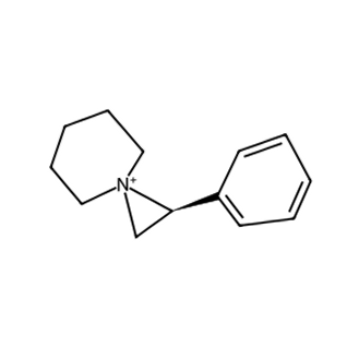 c1ccc([C@H]2C[N+]23CCCCC3)cc1